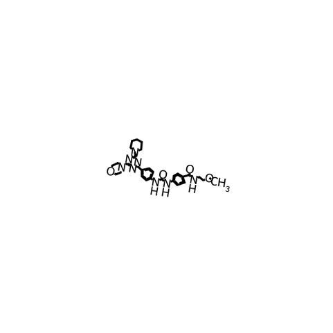 COCCNC(=O)c1ccc(NC(=O)Nc2ccc(-c3nc(N4CCCCC4)nc(N4CCOCC4)n3)cc2)cc1